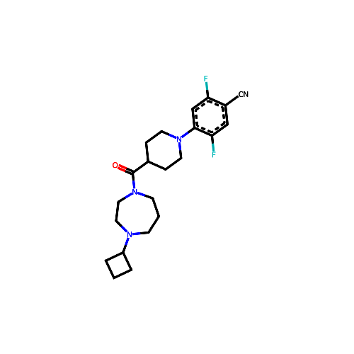 N#Cc1cc(F)c(N2CCC(C(=O)N3CCCN(C4CCC4)CC3)CC2)cc1F